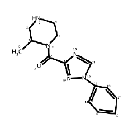 CC1CNCCN1C(=O)c1ncn(-c2ccccc2)n1